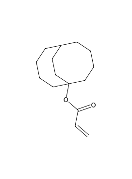 C=CC(=O)OC12CCCCC(CCCC1)CC2